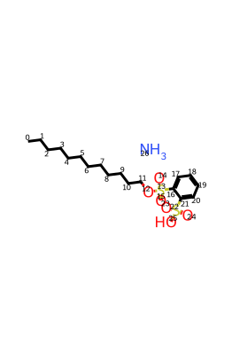 CCCCCCCCCCCCOS(=O)(=O)c1ccccc1S(=O)(=O)O.N